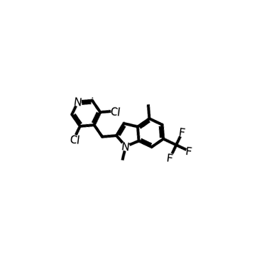 Cc1cc(C(F)(F)F)cc2c1cc(Cc1c(Cl)[c]ncc1Cl)n2C